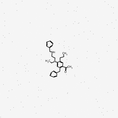 CCCc1cc(C(C)=O)c(Cc2ccccc2)cc1N(CC)CCNCc1ccccc1